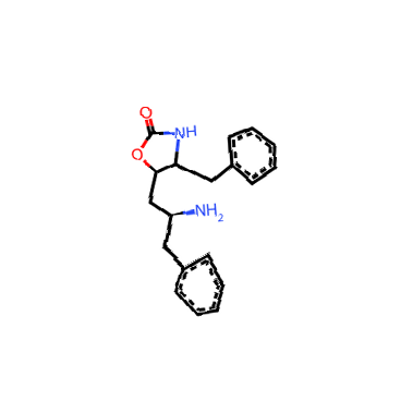 N[C@@H](Cc1ccccc1)CC1OC(=O)NC1Cc1ccccc1